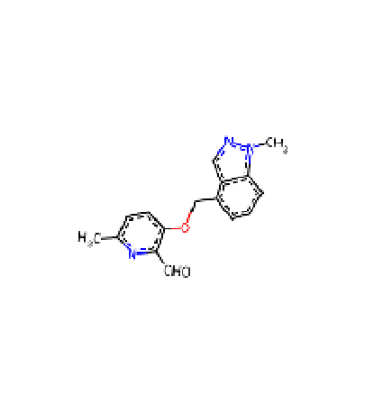 Cc1ccc(OCc2cccc3c2cnn3C)c(C=O)n1